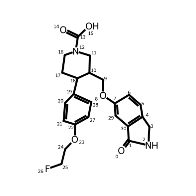 O=C1NCc2ccc(OCC3CN(C(=O)O)CCC3c3ccc(OCCF)cc3)cc21